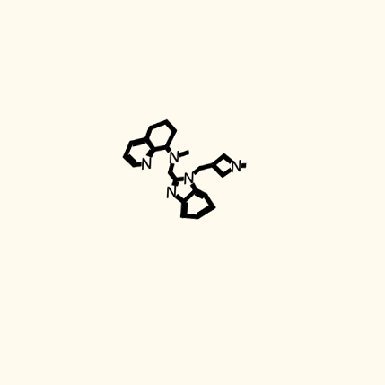 CN1CC(Cn2c(CN(C)C3CCCc4cccnc43)nc3ccccc32)C1